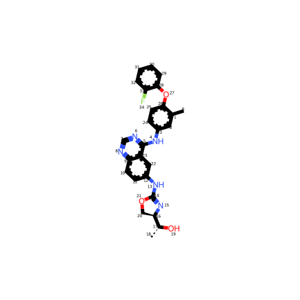 Cc1cc(Nc2ncnc3ccc(NC4=N[C@@H]([C@@H](C)O)CO4)cc23)ccc1Oc1ccccc1F